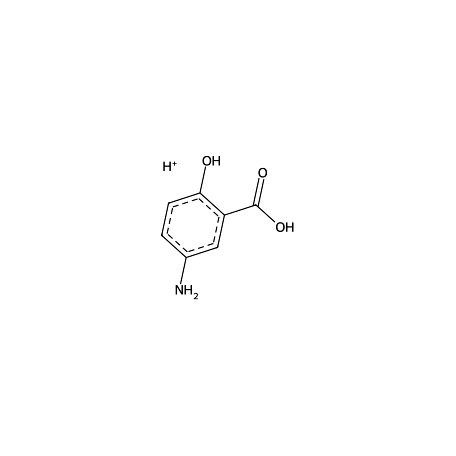 Nc1ccc(O)c(C(=O)O)c1.[H+]